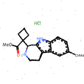 COC(=O)C1(C2NCCc3c2[nH]c2ccc(OC)cc32)CCC1.Cl